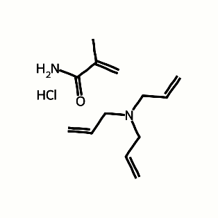 C=C(C)C(N)=O.C=CCN(CC=C)CC=C.Cl